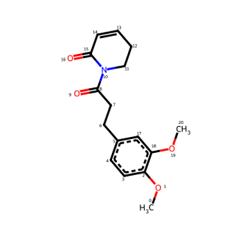 COc1ccc(CCC(=O)N2CCC=CC2=O)cc1OC